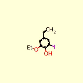 C=Cc1cc(I)c(O)c(OCC)c1